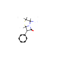 CC(=O)C12SC(C)(C)C(N)(C(=O)O)N1C(=O)C2c1ccccc1